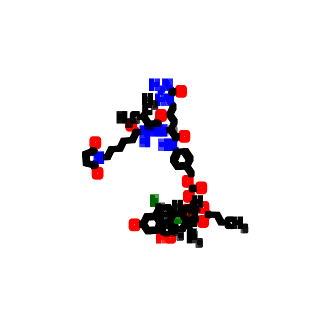 CCCC1O[C@@H]2C[C@H]3[C@@H]4C[C@H](F)C5=CC(=O)C=C[C@]5(C)[C@@]4(F)[C@@H](O)C[C@]3(C)[C@]2(C(=O)COC(=O)OCc2ccc(NC(=O)[C@H](CCCNC(N)=O)NC(=O)[C@@H](NC(=O)CCCCCN3C(=O)C=CC3=O)C(C)C)cc2)O1